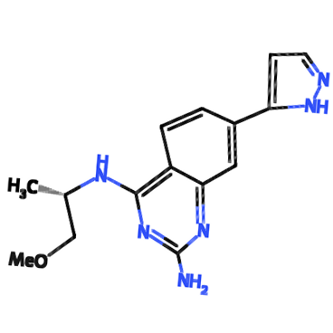 COC[C@H](C)Nc1nc(N)nc2cc(-c3ccn[nH]3)ccc12